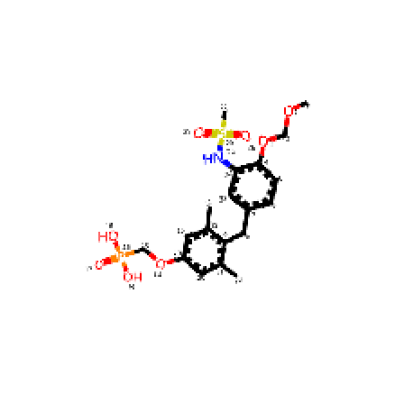 COCOc1ccc(Cc2c(C)cc(OCP(=O)(O)O)cc2C)cc1NS(C)(=O)=O